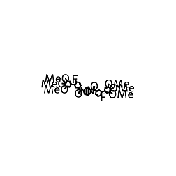 COc1cc(-c2cc(C(=O)N3CCCN(C(=O)c4ccc(F)c(-c5cc(OC)c(OC)c(OC)c5)c4)CC3)ccc2F)cc(OC)c1OC